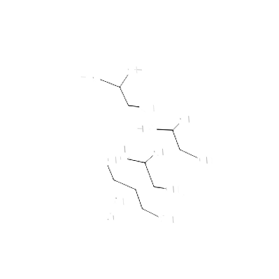 CCC(C)O.CCC(C)O.CCC(C)O.CCCCO.[AlH3].[Zr]